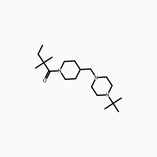 CCC(C)(C)C(=O)N1CCC(CN2CCN(C(C)(C)C)CC2)CC1